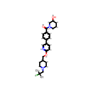 CCC(F)(CC)CN1CCC(COc2ccc(-c3ccc(C(=O)N4CCCC(O)C4)cc3)cn2)CC1